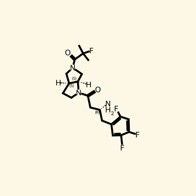 CC(C)(F)C(=O)N1C[C@@H]2CCN(C(=O)C[C@H](N)Cc3cc(F)c(F)cc3F)[C@@H]2C1